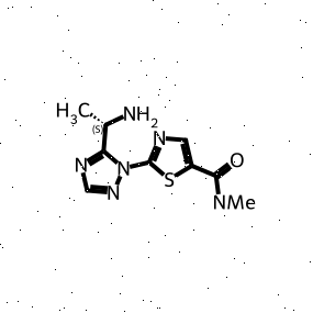 CNC(=O)c1cnc(-n2ncnc2[C@H](C)N)s1